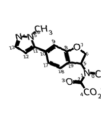 CN(C(=O)C(=O)O)C1COc2cc(-c3ccnn3C)ccc21